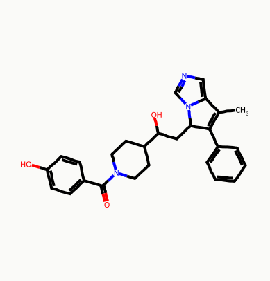 CC1=C(c2ccccc2)C(CC(O)C2CCN(C(=O)c3ccc(O)cc3)CC2)n2cncc21